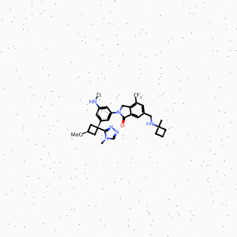 CCNc1cc(N2Cc3c(cc(CNC4(C)CCC4)cc3C(F)(F)F)C2=O)cc([C@]2(c3nncn3C)C[C@H](OC)C2)c1